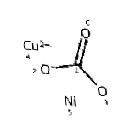 O=C([O-])[O-].[Cu+2].[Ni]